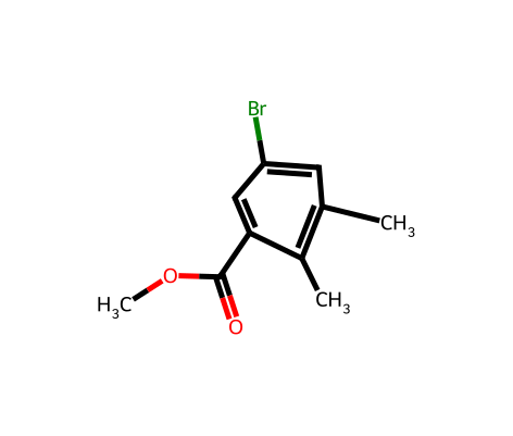 COC(=O)c1cc(Br)cc(C)c1C